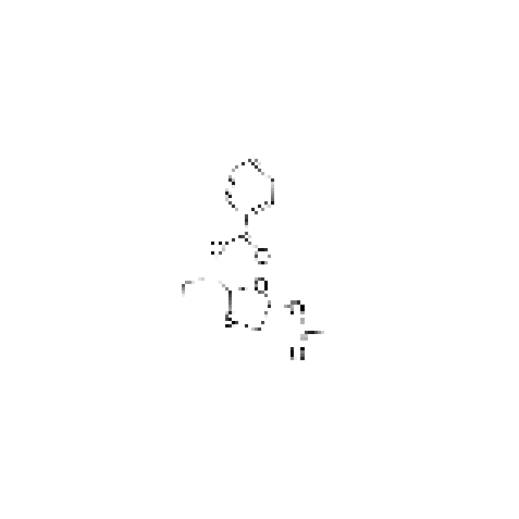 CC[C@H](OC(=O)c1ccccc1)C1OC(OC(C)=O)[C@H](C)S1